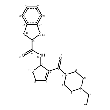 CCN1CCN(C(=O)C2=CCSC2NC(=O)C2Nc3ccccc3S2)CC1